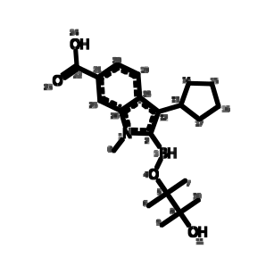 Cn1c(BOC(C)(C)C(C)(C)O)c(C2CCCC2)c2ccc(C(=O)O)cc21